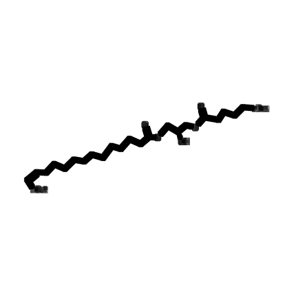 CCCCCCCC/C=C\CCCCCCCCCCCC(=O)OC[C@H](O)COC(=O)CCCCCCCCCCCCCC